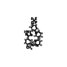 Cc1ccc(-c2n[nH]c(-c3cccc(OC(F)(F)F)c3)n2)cc1Nc1nccc(-c2cccnc2)n1